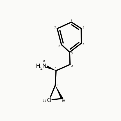 N[C@@H](Cc1ccccc1)[C@H]1CO1